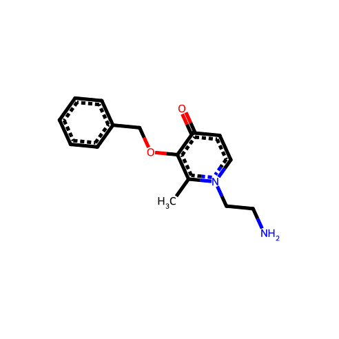 Cc1c(OCc2ccccc2)c(=O)ccn1CCN